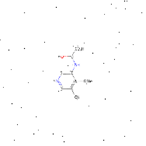 COc1c(C#N)cncc1NC(=O)C(=O)O